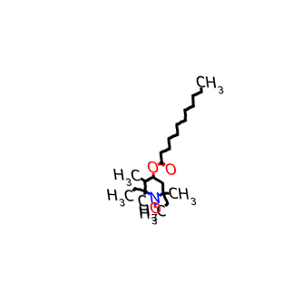 CCCCCCCCCCCC(=O)OC1CC(C)(CC)N([O])C(C)(CC)C1C